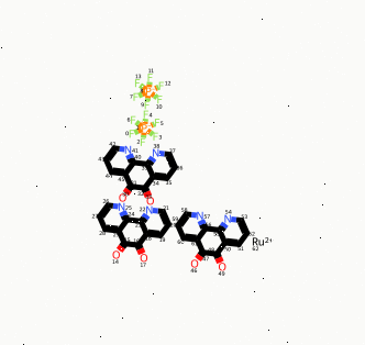 F[P-](F)(F)(F)(F)F.F[P-](F)(F)(F)(F)F.O=C1C(=O)c2cccnc2-c2ncccc21.O=C1C(=O)c2cccnc2-c2ncccc21.O=C1C(=O)c2cccnc2-c2ncccc21.[Ru+2]